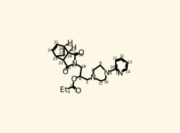 CCC(=O)OC(CN1CCN(c2ccccn2)CC1)CN1C(=O)C2C3C=C[C@@H](C3)[C@@H]2C1=O